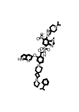 CC(C)c1ccccc1[C@@H]1CCCN1C1CC2(CCN(c3ccc(C(=O)NS(=O)(=O)c4cc([N+](=O)[O-])c(NCC5(F)CCN(C(C)C)CC5)c5c4ncn5C)c(Oc4cnc5[nH]ccc5c4)c3)CC2)C1